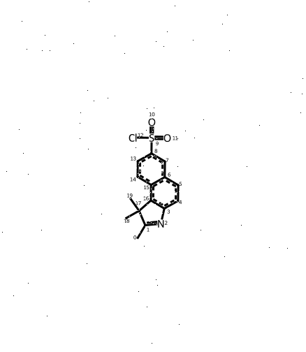 CC1=Nc2ccc3cc(S(=O)(=O)Cl)ccc3c2C1(C)C